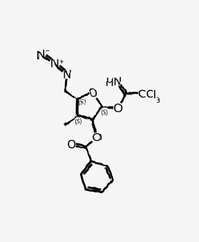 C[C@@H]1C(OC(=O)c2ccccc2)[C@H](OC(=N)C(Cl)(Cl)Cl)O[C@@H]1CN=[N+]=[N-]